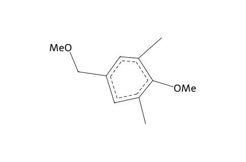 COCc1cc(C)c(OC)c(C)c1